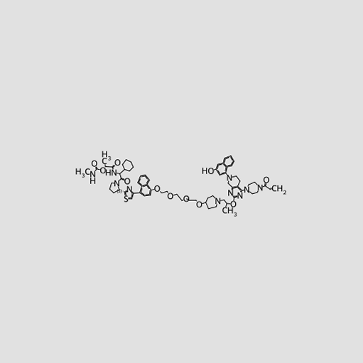 C=CC(=O)N1CCN(c2nc(OC(C)CN3CCC(OCCOCCOCCOc4ccc(-c5csc([C@@H]6CCCN6C(=O)C(NC(=O)C(C)OC(=O)NC)C6CCCCC6)n5)c5ccccc45)CC3)nc3c2CCN(c2cc(O)cc4ccccc24)C3)CC1